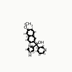 COc1ccc2cc(C(O)(c3cccnc3)c3c[nH]cn3)ccc2c1